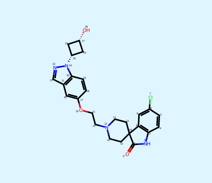 O=C1Nc2ccc(Cl)cc2C12CCN(CCOc1ccc3c(cnn3[C@H]3C[C@@H](O)C3)c1)CC2